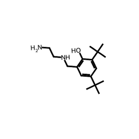 CC(C)(C)c1cc(CNCCN)c(O)c(C(C)(C)C)c1